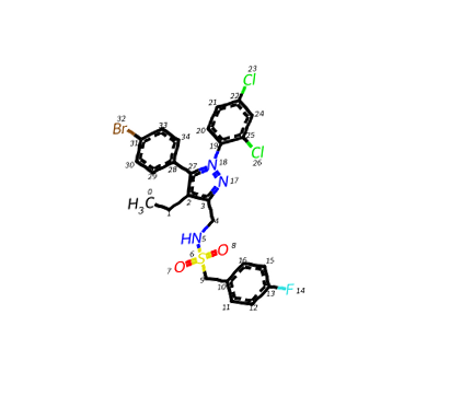 CCc1c(CNS(=O)(=O)Cc2ccc(F)cc2)nn(-c2ccc(Cl)cc2Cl)c1-c1ccc(Br)cc1